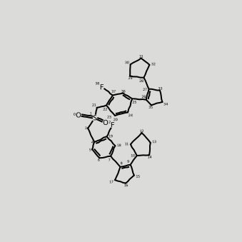 O=S(=O)(Cc1ccc(C2=C(C3CCCC3)CCC2)cc1F)Cc1ccc(C2=C(C3CCCC3)CCC2)cc1F